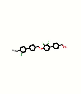 COc1ccc(-c2ccc(COc3ccc(-c4ccc(CO)cc4)c(F)c3F)cc2)cc1F